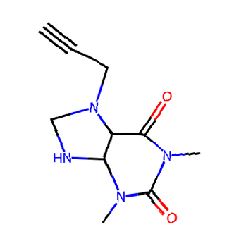 C#CCN1CNC2C1C(=O)N(C)C(=O)N2C